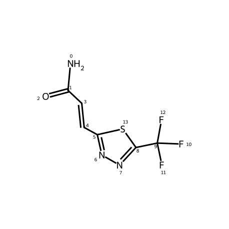 NC(=O)C=Cc1nnc(C(F)(F)F)s1